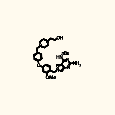 CCCCNc1nc(N)nc2cn(Cc3ccc(Oc4ccc(CN5CCN(CCO)CC5)cc4)cc3OC)nc12